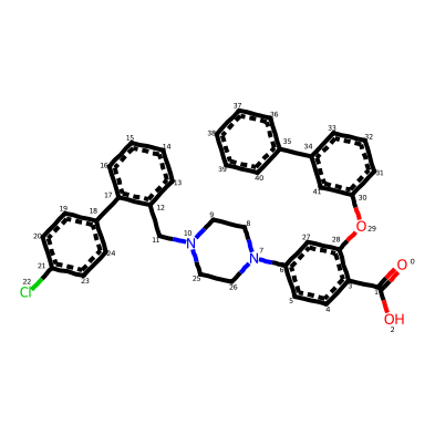 O=C(O)c1ccc(N2CCN(Cc3ccccc3-c3ccc(Cl)cc3)CC2)cc1Oc1cccc(-c2ccccc2)c1